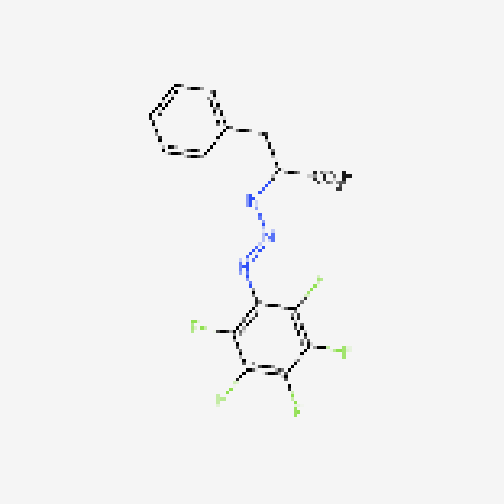 O=C(O)C(Cc1ccccc1)NN=Nc1c(F)c(F)c(F)c(F)c1F